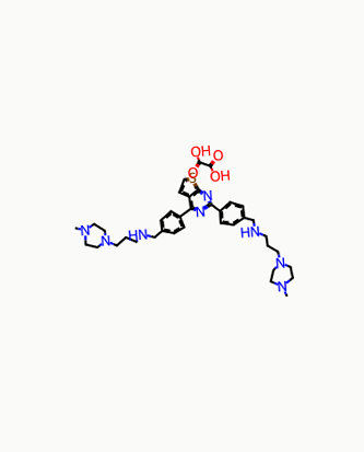 CN1CCN(CCCNCc2ccc(-c3nc(-c4ccc(CNCCCN5CCN(C)CC5)cc4)c4ccsc4n3)cc2)CC1.O=C(O)C(=O)O